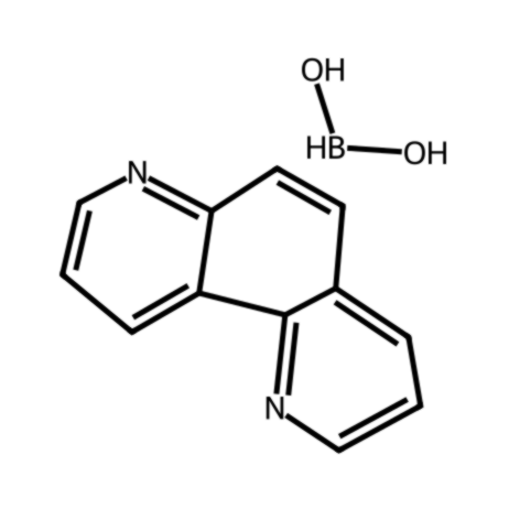 OBO.c1cnc2c(c1)ccc1ncccc12